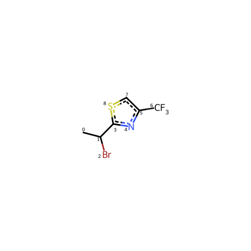 CC(Br)c1nc(C(F)(F)F)cs1